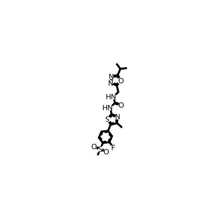 Cc1nc(NC(=O)NCc2nnc(C(C)C)o2)sc1-c1ccc(S(C)(=O)=O)c(F)c1